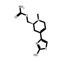 CN1CC=C(c2csc(S)n2)C[C@H]1COC(N)=O